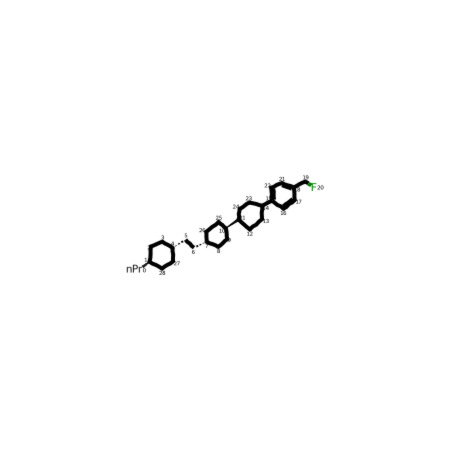 CCC[C@H]1CC[C@H](CC[C@H]2CC[C@H](C3CCC(c4ccc(CF)cc4)CC3)CC2)CC1